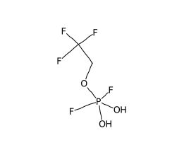 OP(O)(F)(F)OCC(F)(F)F